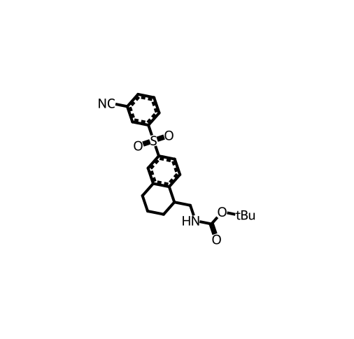 CC(C)(C)OC(=O)NCC1CCCc2cc(S(=O)(=O)c3cccc(C#N)c3)ccc21